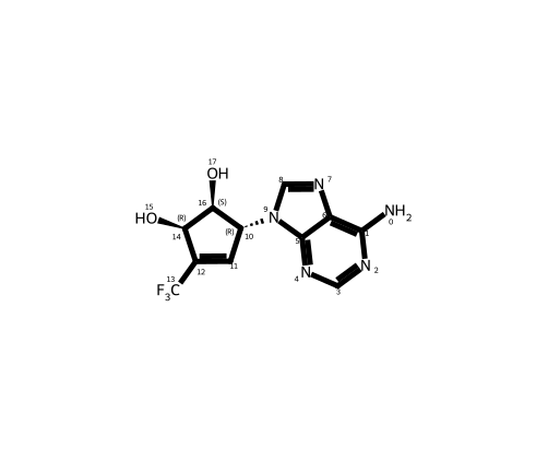 Nc1ncnc2c1ncn2[C@@H]1C=C(C(F)(F)F)[C@@H](O)[C@H]1O